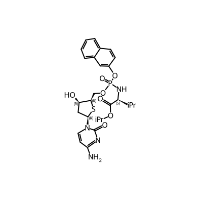 CC(C)OC(=O)[C@@H](NP(=O)(OC[C@H]1S[C@@H](n2ccc(N)nc2=O)C[C@H]1O)Oc1ccc2ccccc2c1)C(C)C